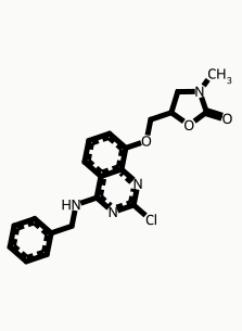 CN1CC(COc2cccc3c(NCc4ccccc4)nc(Cl)nc23)OC1=O